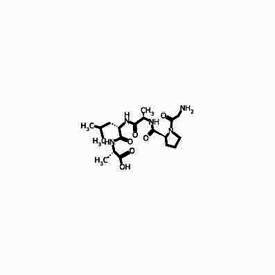 CC(C)C[C@H](NC(=O)[C@H](C)NC(=O)[C@@H]1CCCN1C(=O)CN)C(=O)N[C@@H](C)C(=O)O